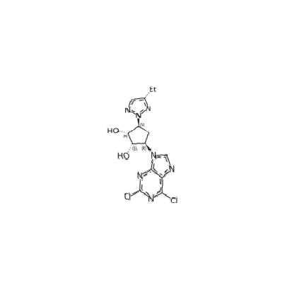 CCc1cnn([C@H]2C[C@@H](n3cnc4c(Cl)nc(Cl)nc43)[C@H](O)[C@@H]2O)n1